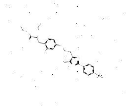 CCOC(=O)C(Cc1ccc(OCCc2nc(-c3ccc(C(F)(F)F)cc3)sc2C)cc1C)OCC